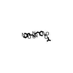 CC(C)COC(=O)N1CCC(Cc2noc(-c3cc4cnccc4o3)n2)CC1